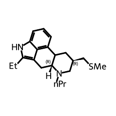 CCCN1C[C@H](CSC)CC2c3cccc4[nH]c(CC)c(c34)C[C@H]21